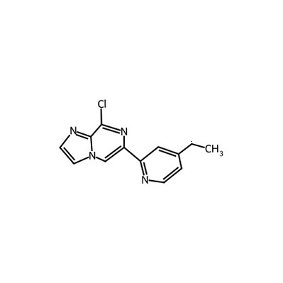 C[CH]c1ccnc(-c2cn3ccnc3c(Cl)n2)c1